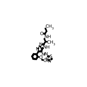 CCCC(=O)NCC(C)c1nn2nc(-c3ccccc3OCO)c(N=Nc3nncs3)c2[nH]1